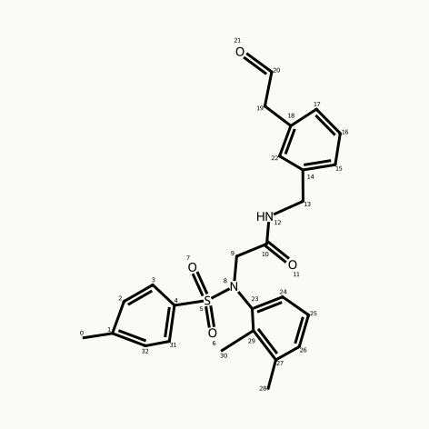 Cc1ccc(S(=O)(=O)N(CC(=O)NCc2cccc(CC=O)c2)c2cccc(C)c2C)cc1